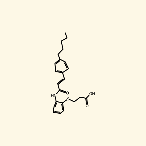 CCCCCc1ccc(/C=C/C(=O)Nc2ccccc2SCCC(=O)O)cc1